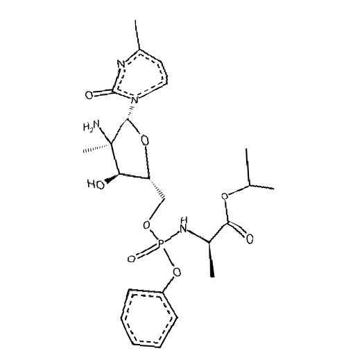 Cc1ccn([C@@H]2O[C@H](COP(=O)(N[C@H](C)C(=O)OC(C)C)Oc3ccccc3)[C@@H](O)[C@@]2(C)N)c(=O)n1